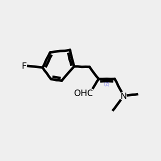 CN(C)/C=C(\C=O)Cc1ccc(F)cc1